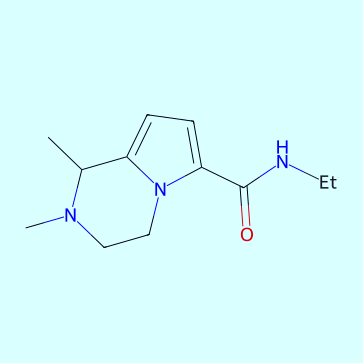 CCNC(=O)c1ccc2n1CCN(C)C2C